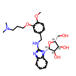 COc1ccc(CNc2nc3ccccc3n2[C@@H]2O[C@H](CO)[C@@H](O)[C@H]2O)cc1OCCCN(C)C